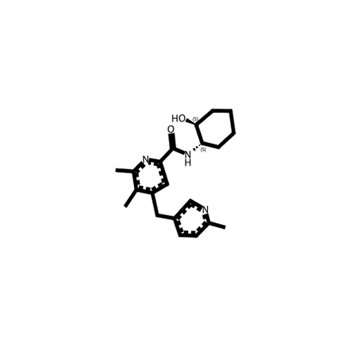 Cc1ccc(Cc2cc(C(=O)N[C@H]3CCCC[C@@H]3O)nc(C)c2C)cn1